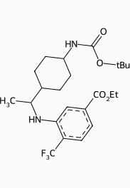 CCOC(=O)c1ccc(C(F)(F)F)c(NC(C)C2CCC(NC(=O)OC(C)(C)C)CC2)c1